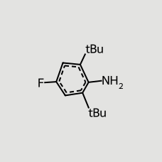 CC(C)(C)c1cc(F)cc(C(C)(C)C)c1N